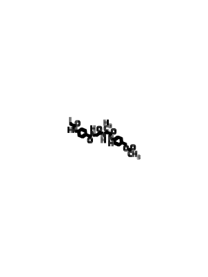 CC(=O)OCc1ccc(NC(=O)[C@H](C)NC(=O)CNC(=O)c2ccc(NC(=O)CI)cc2)cc1